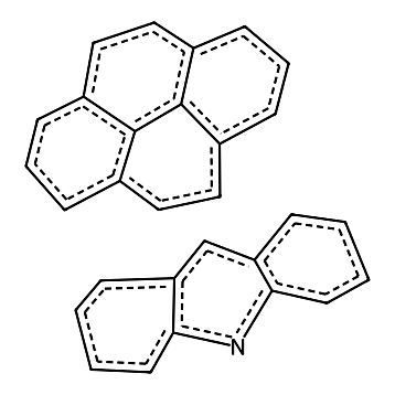 c1cc2ccc3cccc4ccc(c1)c2c34.c1ccc2nc3ccccc3cc2c1